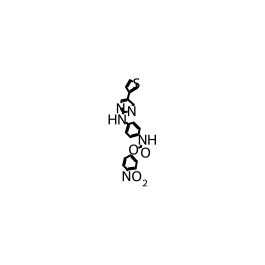 O=C(Nc1ccc(Nc2ncc(-c3ccsc3)cn2)cc1)Oc1ccc([N+](=O)[O-])cc1